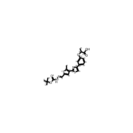 Cc1sc(C=NNC(=O)OC(C)(C)C)cc1-c1nc(-c2cccc(OC(C)C(=O)O)c2)cs1